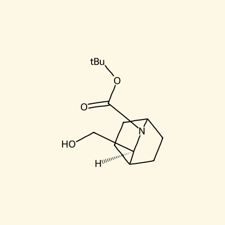 CC(C)(C)OC(=O)N1C2CCC(CC2)[C@H]1CO